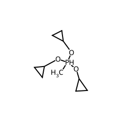 C[PH](OC1CC1)(OC1CC1)OC1CC1